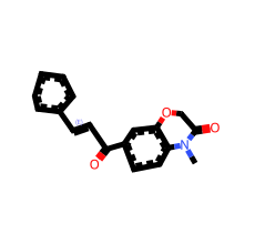 CN1C(=O)COc2cc(C(=O)/C=C/c3ccccc3)ccc21